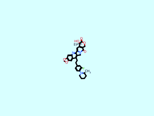 CC[C@@]1(O)C(=O)OCc2c1cc1n(c2=O)Cc2c-1nc1cc3c(cc1c2CCc1ccc(N2CCCCC2C)c(F)c1)OCO3